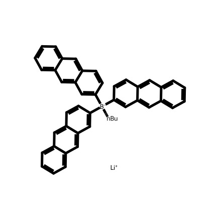 CCCC[B-](c1ccc2cc3ccccc3cc2c1)(c1ccc2cc3ccccc3cc2c1)c1ccc2cc3ccccc3cc2c1.[Li+]